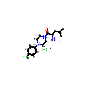 CC(C)CC(N)C(=O)N1CCN(c2ccc(Cl)cc2)CC1.Cl